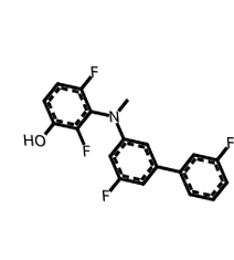 CN(c1cc(F)cc(-c2cccc(F)c2)c1)c1c(F)ccc(O)c1F